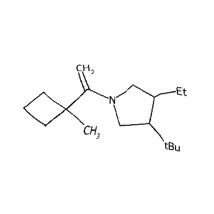 C=C(N1CC(CC)C(C(C)(C)C)C1)C1(C)CCC1